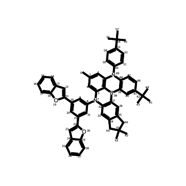 Cc1cc2c3c(c1)N(c1cc(-c4cc5ccccc5o4)cc(-c4cc5ccccc5o4)c1)c1cc4c(cc1B3c1cc(C(C)(C)C)ccc1N2c1ccc(C(C)(C)C)cc1)CC(C)(C)C4